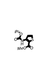 COC(=O)c1sccc1NC(=O)OC(C)C